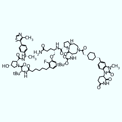 Cc1ncsc1-c1ccc([C@H](C)NC(=O)[C@@H]2C[C@@H](O)CN2C(=O)[C@@H](NC(=O)CCCCCc2cccc(OC[C@H](CCC(N)=O)NC(=O)[C@@H]3CC[C@@H]4CCN(C(=O)C[C@H]5CC[C@@H](Cc6ccc7c(c6)n(C)c(=O)n7C6CCC(=O)NC6=O)CC5)C[C@H](NC(=O)OC(C)(C)C)C(=O)N43)c2F)C(C)(C)C)cc1